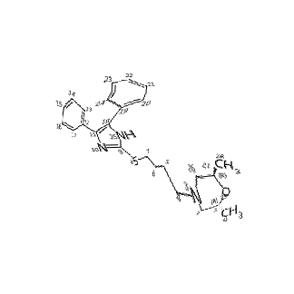 C[C@@H]1CN(CCCCSc2nc(-c3ccccc3)c(-c3ccccc3)[nH]2)C[C@@H](C)O1